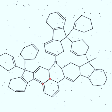 CC1(C)C2=CCCCC2C2C=C(C3C=CC=CC3)C(N(C3=CC=C4C5=C(C=CCC5)C(C5=CCCCC5)(C5C=CCCC5)C4C3)C3C=C4C(=CC3)C3=C(CCC=C3)C4(C3=CCCCC3)C3CC=CCC3)CC21